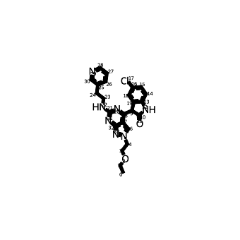 CCOCCn1cc2c(C3C(=O)Nc4ccc(Cl)cc43)nc(NCCc3cccnc3)nc2n1